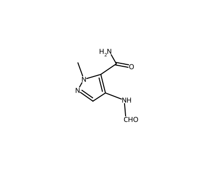 Cn1ncc(NC=O)c1C(N)=O